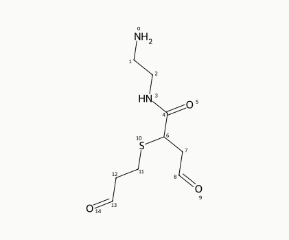 NCCNC(=O)C(CC=O)SCCC=O